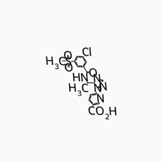 CC(NC(=O)c1cc(Cl)cc(S(C)(=O)=O)c1)c1ncnn1-c1ccc(C(=O)O)cn1